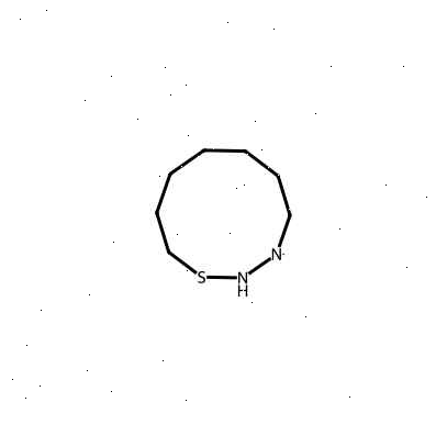 C1CCC[N]NSCCC1